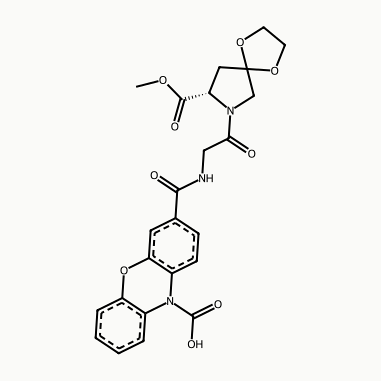 COC(=O)[C@@H]1CC2(CN1C(=O)CNC(=O)c1ccc3c(c1)Oc1ccccc1N3C(=O)O)OCCO2